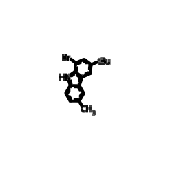 Cc1ccc2[nH]c3c(Br)cc(C(C)(C)C)cc3c2c1